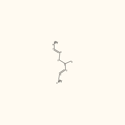 C[C](C=CC(C)C)CC=CC(C)C